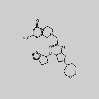 O=C(CN1CCn2c(cc(C(F)(F)F)cc2=O)C1)NC1CN(C2CCCOCC2)C[C@@H]1OC1CCc2ccsc21